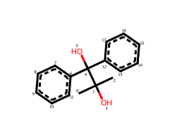 CC(C)(O)C(O)(c1ccccc1)c1ccccc1